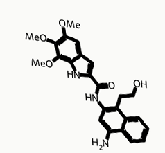 COc1cc2cc(C(=O)Nc3cc(N)c4ccccc4c3CCO)[nH]c2c(OC)c1OC